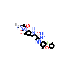 Cc1cc(-n2ncc(C(=O)c3cc4cc(C)c(N5C(=O)NC(C)(C(F)(F)F)C5=O)cc4[nH]3)c2N)ccc1Oc1ccccc1F